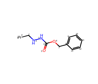 CC(C)CNNC(=O)OCc1ccccc1